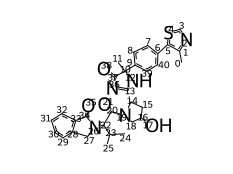 Cc1ncsc1-c1ccc(C2(C)NC([C@@H]3C[C@@H](O)CN3C(=O)C(C(C)C)N3Cc4ccccc4C3=O)=NC2=O)cc1